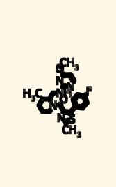 COc1ccnc(NCC2[C@H](C)CCCN2C(=O)c2nc(C)sc2-c2ccc(F)cc2)n1